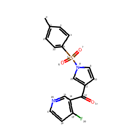 Cc1ccc(S(=O)(=O)n2ccc(C(=O)c3cnccc3F)c2)cc1